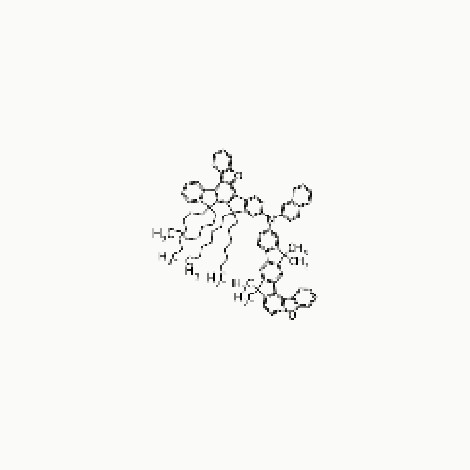 CCCCCCCC1(CCCCCCC)c2cc(N(c3ccc4c(c3)C(C)(C)c3cc5c(cc3-4)C(C)(C)c3ccc4oc6ccccc6c4c3-5)c3ccc4ccccc4c3)ccc2-c2c1c1c(c3c2oc2ccccc23)-c2ccccc2C1(CCCCCCC)CCCCCCC